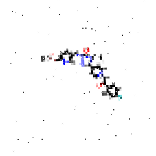 CCOCc1ccc(CNC(=O)N(C)CC2CCN(CC(=O)c3ccc(F)cc3)CC2)cn1